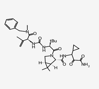 C=C(C)[C@H](NC(=O)N[C@H](C(=O)N1C[C@H]2[C@@H]([C@H]1C(=O)NC(C(=O)C(N)=O)C1CC1)C2(C)C)C(C)(C)C)C(=O)N(C)Cc1ccccc1